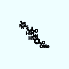 COC(=O)c1ccc2[nH]c(-n3[nH]c(CSc4nnc(C)s4)c(C)c3=O)nc2c1